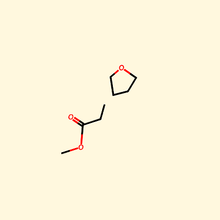 C1CCOC1.CCC(=O)OC